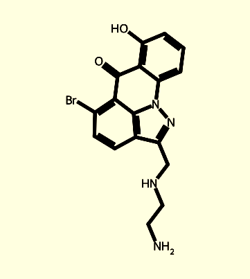 NCCNCc1nn2c3cccc(O)c3c(=O)c3c(Br)ccc1c32